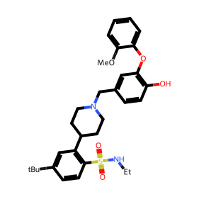 CCNS(=O)(=O)c1ccc(C(C)(C)C)cc1C1CCN(Cc2ccc(O)c(Oc3ccccc3OC)c2)CC1